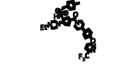 CCN1CCN(c2ccc(C(=O)N3CCC(c4ccc(Oc5ccc(C(F)(F)F)nn5)cc4)CC3)cc2NS(=O)(=O)Cc2ccc(C)cc2)CC1